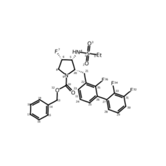 CCS(=O)(=O)N[C@H]1[C@@H](F)CN(C(=O)OCc2ccccc2)[C@H]1Cc1cccc(-c2cccc(F)c2F)c1F